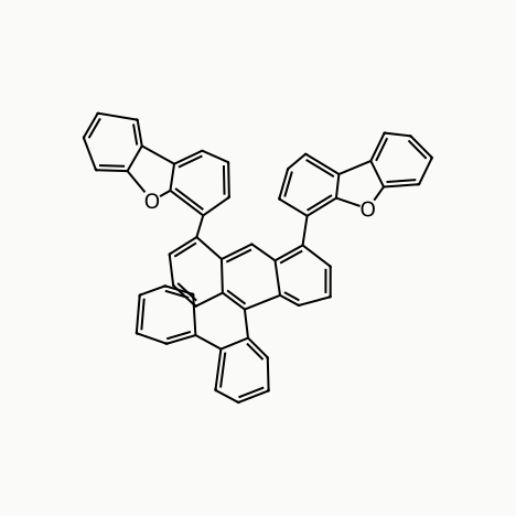 c1ccc(-c2ccccc2-c2c3cccc(-c4cccc5c4oc4ccccc45)c3cc3c(-c4cccc5c4oc4ccccc45)cccc23)cc1